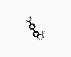 COC(=O)c1ccc(-c2ccc(O)c([N+](=O)[O-])c2)cc1